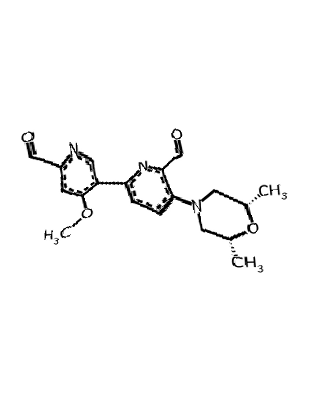 COc1cc(C=O)ncc1-c1ccc(N2C[C@@H](C)O[C@@H](C)C2)c(C=O)n1